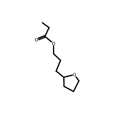 CCC(=O)OCCCC1CCCO1